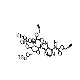 C#CCOC(=O)Nc1ncnc2c1ncn2[C@@H]1O[C@H](COC(C)(C)C)C(OP(=O)(O)OCC)C1OC(=O)OCC#C